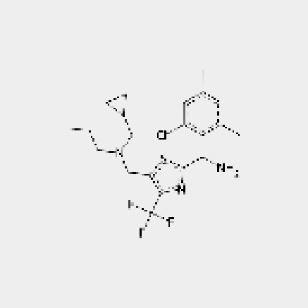 CCCN(Cc1sc(C(N)c2c(C)cc(C)cc2Cl)nc1C(F)(F)F)CC1CC1